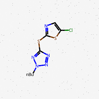 CCCCn1nnc(Sc2ncc(Cl)s2)n1